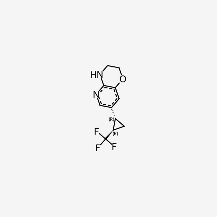 FC(F)(F)[C@@H]1C[C@H]1c1cnc2c(c1)OCCN2